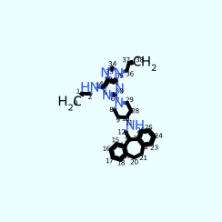 C=CCNc1nc(N2CCC(NCC3c4ccccc4CCc4ccccc43)CC2)nc2c1ncn2CC=C